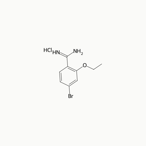 CCOc1cc(Br)ccc1C(=N)N.Cl